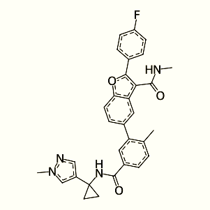 CNC(=O)c1c(-c2ccc(F)cc2)oc2ccc(-c3cc(C(=O)NC4(c5cnn(C)c5)CC4)ccc3C)cc12